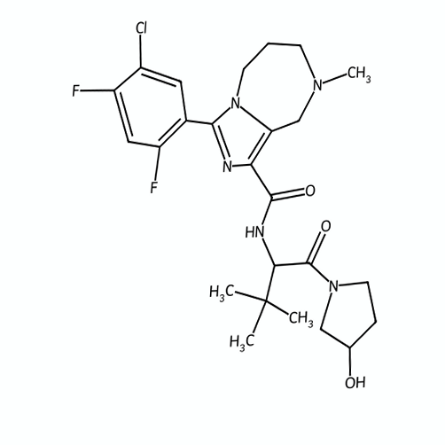 CN1CCCn2c(-c3cc(Cl)c(F)cc3F)nc(C(=O)NC(C(=O)N3CCC(O)C3)C(C)(C)C)c2C1